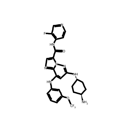 N[C@H]1CC[C@H](Nc2cc(Nc3cccc(OC(F)(F)F)c3)c3ncc(C(=O)Nc4ccncc4F)n3n2)CC1